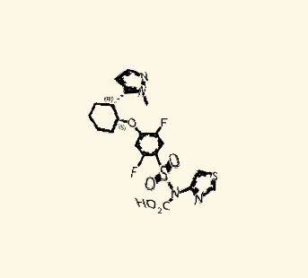 Cn1nccc1[C@H]1CCCC[C@@H]1Oc1cc(F)c(S(=O)(=O)N(C(=O)O)c2cscn2)cc1F